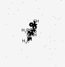 C#CC1(c2ccccc2)CC12CCN(C(=O)C(=O)c1c[nH]c3c(-n4cnc(C)n4)ncc(OC)c13)CC2